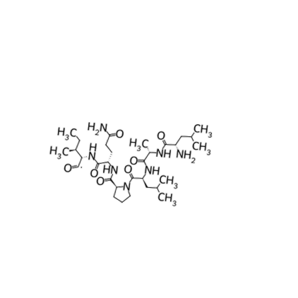 CC[C@H](C)[C@@H]([C]=O)NC(=O)[C@H](CCC(N)=O)NC(=O)[C@@H]1CCCN1C(=O)[C@H](CC(C)C)NC(=O)[C@H](C)NC(=O)[C@@H](N)CC(C)C